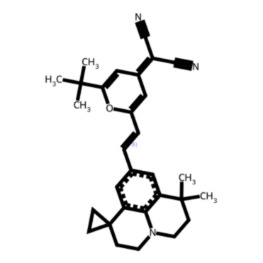 CC(C)(C)C1=CC(=C(C#N)C#N)C=C(/C=C/c2cc3c4c(c2)C2(CCN4CCC3(C)C)CC2)O1